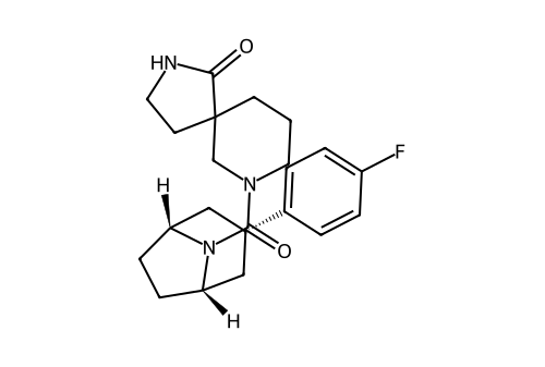 O=C(N1CCCC2(CCNC2=O)C1)N1[C@@H]2CC[C@H]1C[C@@H](c1ccc(F)cc1)C2